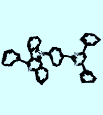 c1ccc(-c2cc(-c3ccccc3)nc(-c3ccc(-n4c5ccccc5c5c(-c6ccccc6)nc6ccccc6c54)cc3)n2)cc1